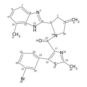 C=C1CC(c2nc3cccc(C)c3[nH]2)N(C(=O)c2nc(C)sc2-c2cccc(Br)c2)C1